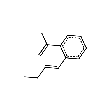 C=C(C)c1ccccc1/C=C/CC